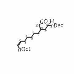 CCCCCCCC/C=C\CCCCCC(CCCCCCCCCCCC)CC(=O)O